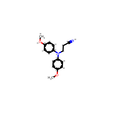 COc1ccc(N(CCC#N)c2ccc(OC)cc2)cc1